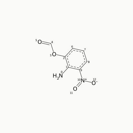 Nc1c(OC=O)cccc1[N+](=O)[O-]